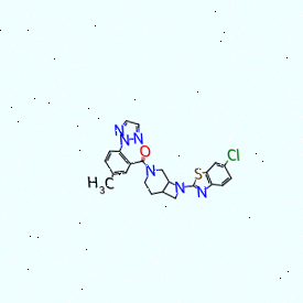 Cc1ccc(-n2nccn2)c(C(=O)N2CCC3CN(c4nc5ccc(Cl)cc5s4)C3C2)c1